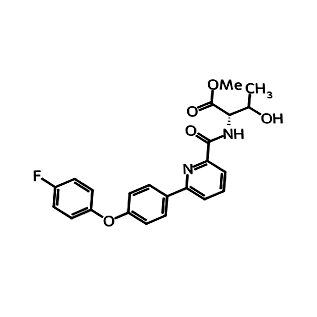 COC(=O)[C@@H](NC(=O)c1cccc(-c2ccc(Oc3ccc(F)cc3)cc2)n1)C(C)O